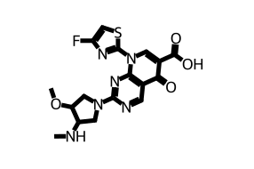 CNC1CN(c2ncc3c(=O)c(C(=O)O)cn(-c4nc(F)cs4)c3n2)CC1OC